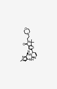 Cn1cc(NC2=NC=CC(c3cc4c(s3)C(C)(C)N(CCN3CCOCC3)C4=O)N2)c(C#N)n1